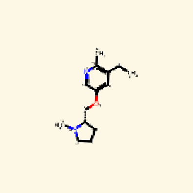 CCc1cc(OC[C@@H]2CCCN2C)cnc1C